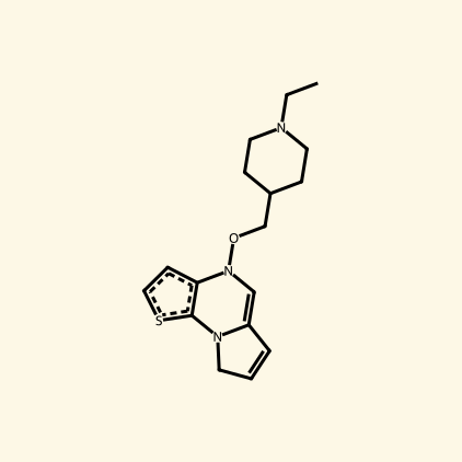 CCN1CCC(CON2C=C3C=CCN3c3sccc32)CC1